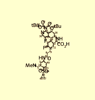 CNCc1cc(NC(=O)CCc2cc(C(Nc3ccc4c(N(C(=O)OC(C)(C)C)C(=O)OC(C)(C)C)ncc(F)c4c3)C(=O)O)ccc2F)ccc1S(=O)(=O)C1CC1